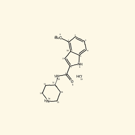 CC(C)COc1cccc2[nH]c(C(=O)NC3CCNCC3)cc12.Cl